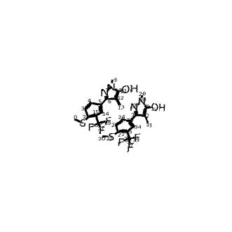 CSc1ccc(-c2nn(C)c(O)c2C)cc1C(F)(F)F.CSc1ccc(-c2nn(C)c(O)c2C)cc1C(F)(F)F